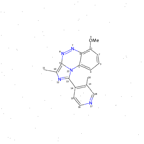 COc1cccc2c1nnc1c(C)nc(-c3ccncc3C)n12